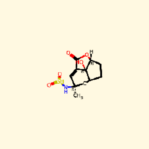 C[C@]1(N[SH](=O)=O)C=C2C(=O)O[C@@H]3CCC(C1)[C@]23O